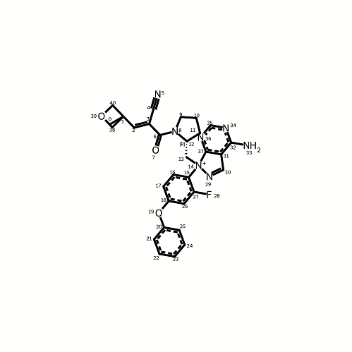 CC1(C=C(C#N)C(=O)N2CCC[C@@H]2C[N+]2(c3ccc(Oc4ccccc4)cc3F)N=Cc3c(N)ncnc32)COC1